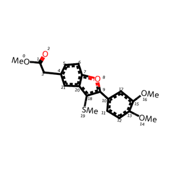 COC(=O)Cc1ccc2oc(-c3ccc(OC)c(OC)c3)c(SC)c2c1